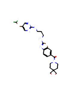 C[C@@H](CNc1ncc(SC(F)F)cn1)CNc1nc2ccc(C(=O)N3CCC4(CC3)COC4)cc2s1